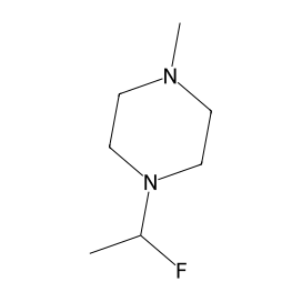 CC(F)N1CCN(C)CC1